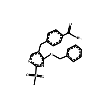 CS(=O)(=O)c1ncc(Cc2ccc(C(N)=O)cc2)c(OCc2ccccc2)n1